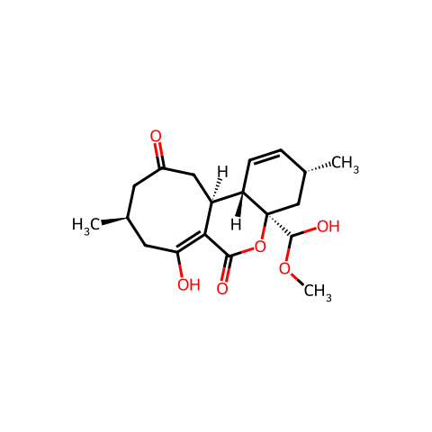 COC(O)[C@@]12C[C@@H](C)C=C[C@H]1[C@@H]1CC(=O)C[C@H](C)C/C(O)=C\1C(=O)O2